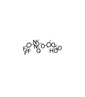 COCc1nc(-c2cccc(C(F)(F)F)c2)nc(C)c1COc1ccc(OC(C)(C)C(=O)O)c(C)c1